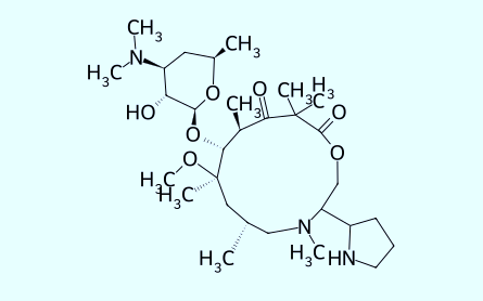 CO[C@]1(C)C[C@@H](C)CN(C)C(C2CCCN2)COC(=O)C(C)(C)C(=O)[C@H](C)[C@H]1O[C@@H]1O[C@H](C)C[C@H](N(C)C)[C@H]1O